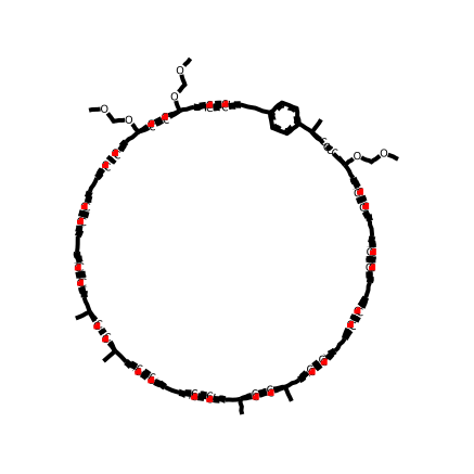 COCOC12CCC(C)(CC1)c1ccc(cc1)-c1ccc(cc1)C1(OCOC)CCC(OCOC)(CC1)c1ccc(cc1)-c1ccc(cc1)-c1ccc(cc1)C1(C)CCC(C)(CC1)c1ccc(cc1)-c1ccc(cc1)C1(C)CCC(C)(CC1)c1ccc(cc1)-c1ccc(cc1)-c1ccc(cc1)-c1ccc2cc1